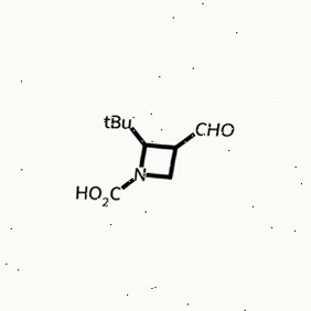 CC(C)(C)C1C(C=O)CN1C(=O)O